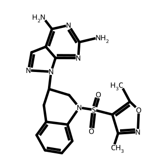 Cc1noc(C)c1S(=O)(=O)N1CC(n2ncc3c(N)nc(N)nc32)Cc2ccccc21